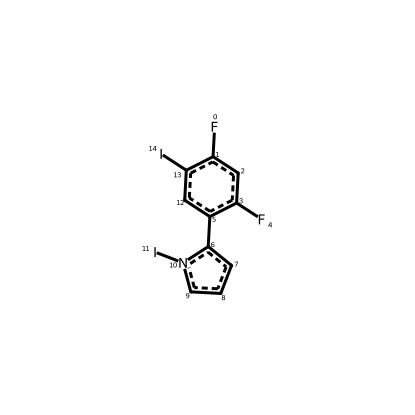 Fc1cc(F)c(-c2cccn2I)cc1I